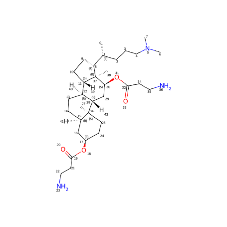 C[C@H](CCCN(C)C)[C@H]1CC[C@H]2[C@@H]3CC[C@@H]4C[C@H](OC(=O)CCN)CC[C@]4(C)[C@H]3C[C@H](OC(=O)CCN)[C@]12C